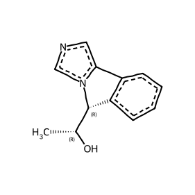 C[C@@H](O)[C@H]1c2ccccc2-c2cncn21